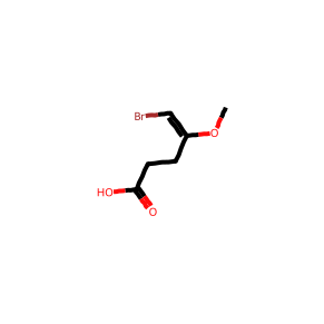 COC(=CBr)CCC(=O)O